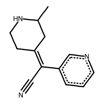 CC1C/C(=C(/C#N)c2cccnc2)CCN1